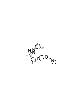 Cc1cc(Nc2ncn(-c3cc(F)cc(F)c3)n2)cc(N2CCC(OCCN3CCCC3)CC2)c1